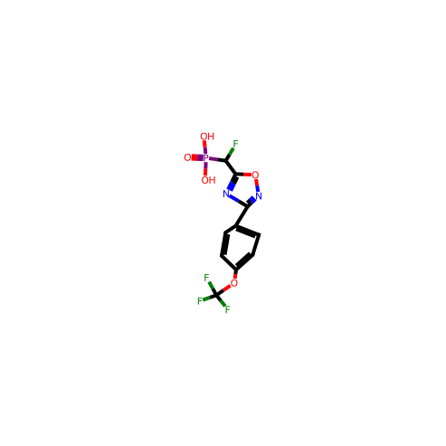 O=P(O)(O)C(F)c1nc(-c2ccc(OC(F)(F)F)cc2)no1